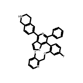 Fc1ccc(-c2c(-c3ccccc3)nc(-c3ccc4c(c3)CCNC4)c3ccsc23)c(OCc2ncccc2F)c1